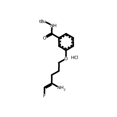 CC(C)(C)NC(=O)c1cccc(OCCCC(N)=CF)c1.Cl